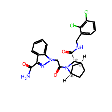 NC(=O)c1nn(CC(=O)N2[C@@H]3CC[C@@H](C3)[C@H]2C(=O)NCc2cccc(Cl)c2Cl)c2ccccc12